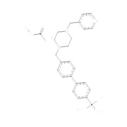 CC(C)OC(=O)C[C@@H]1CN(Cc2ccncc2)CCN1Cc1ccc(-c2ccc(C(C)(O)C(F)(F)F)cc2)cc1